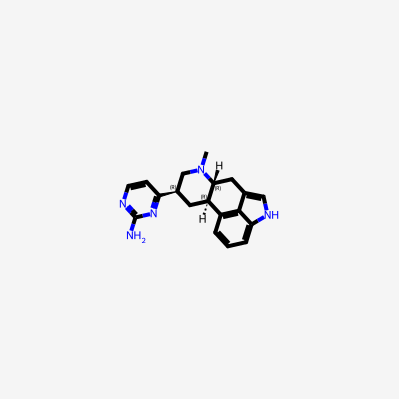 CN1C[C@H](c2ccnc(N)n2)C[C@@H]2c3cccc4[nH]cc(c34)C[C@H]21